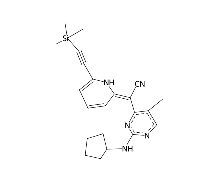 Cc1cnc(NC2CCCC2)nc1/C(C#N)=C1\C=CC=C(C#C[Si](C)(C)C)N1